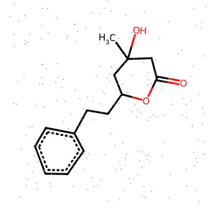 CC1(O)CC(=O)OC(CCc2ccccc2)C1